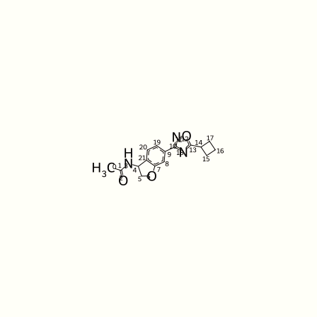 CC(=O)NC1COc2cc(-c3noc(C4CCC4)n3)ccc21